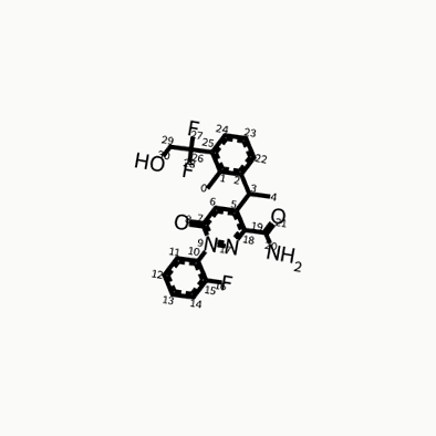 Cc1c(C(C)c2cc(=O)n(-c3ccccc3F)nc2C(N)=O)cccc1C(F)(F)CO